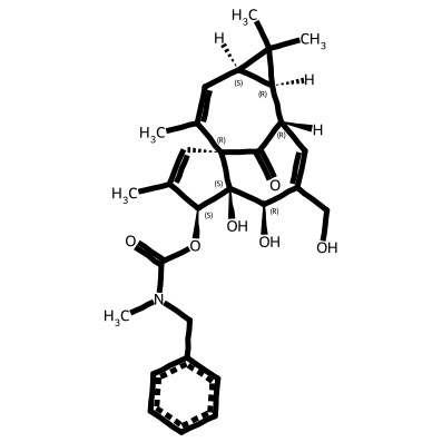 CC1=C[C@]23C(=O)[C@@H](C=C(CO)[C@@H](O)[C@]2(O)[C@H]1OC(=O)N(C)Cc1ccccc1)[C@H]1[C@@H](C=C3C)C1(C)C